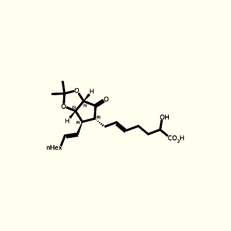 CCCCCCC=C[C@H]1[C@@H]2OC(C)(C)O[C@@H]2C(=O)[C@@H]1CC=CCCC(O)C(=O)O